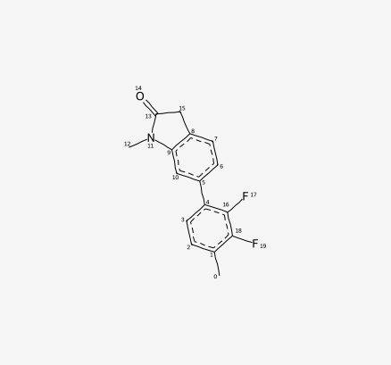 Cc1ccc(-c2ccc3c(c2)N(C)C(=O)C3)c(F)c1F